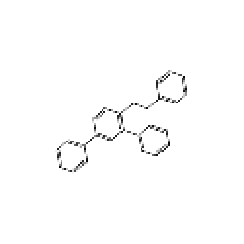 c1ccc(CCc2ccc(-c3ccccc3)cc2-c2ccccc2)cc1